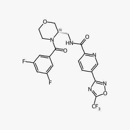 O=C(NC[C@H]1COCCN1C(=O)c1cc(F)cc(F)c1)c1ccc(-c2noc(C(F)(F)F)n2)cn1